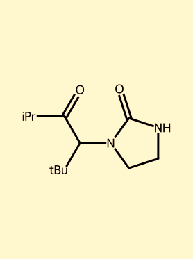 CC(C)C(=O)C(N1CCNC1=O)C(C)(C)C